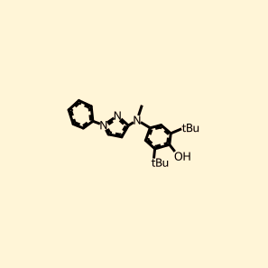 CN(c1cc(C(C)(C)C)c(O)c(C(C)(C)C)c1)c1ccn(-c2ccccc2)n1